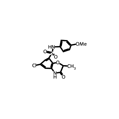 COc1ccc(NS(=O)(=O)c2cc(Cl)cc3c2OC(C)C(=O)N3)cc1